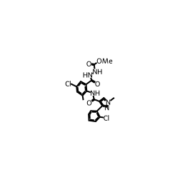 COC(=O)NNC(=O)c1cc(Cl)cc(C)c1NC(=O)c1cn(C)nc1-c1ccccc1Cl